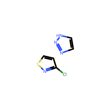 Clc1ccsn1.c1c[nH]nn1